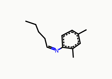 CCCC/C=N\c1ccc(C)cc1C